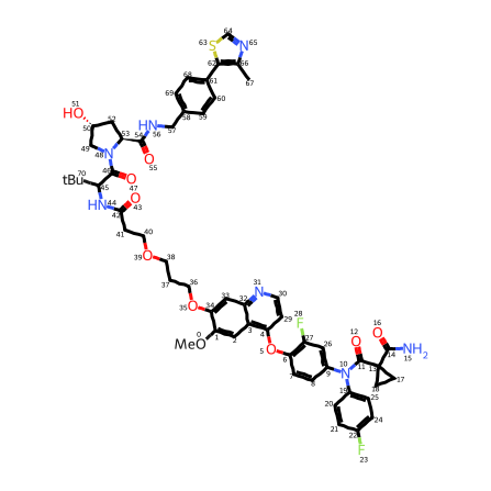 COc1cc2c(Oc3ccc(N(C(=O)C4(C(N)=O)CC4)c4ccc(F)cc4)cc3F)ccnc2cc1OCCCOCCC(=O)NC(C(=O)N1C[C@H](O)C[C@H]1C(=O)NCc1ccc(-c2scnc2C)cc1)C(C)(C)C